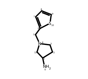 NC1CCN(Cc2cccs2)C1